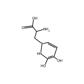 NC(CB1C=CC(O)=C(O)N1)C(=O)O